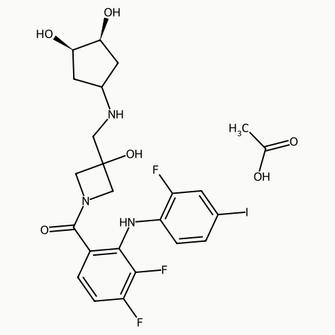 CC(=O)O.O=C(c1ccc(F)c(F)c1Nc1ccc(I)cc1F)N1CC(O)(CNC2C[C@@H](O)[C@@H](O)C2)C1